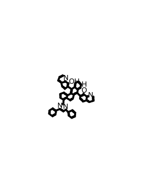 Oc1c(-c2c3ccccc3c(-c3ccc4cccnc4c3O)c3c2ccc2c(-c4nc(-c5ccccc5)cc(-c5ccccc5)n4)cccc23)ccc2cccnc12